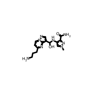 Cn1cc(NC(O)c2cnn3ccc(CCCN)nc23)c(C(N)=O)n1